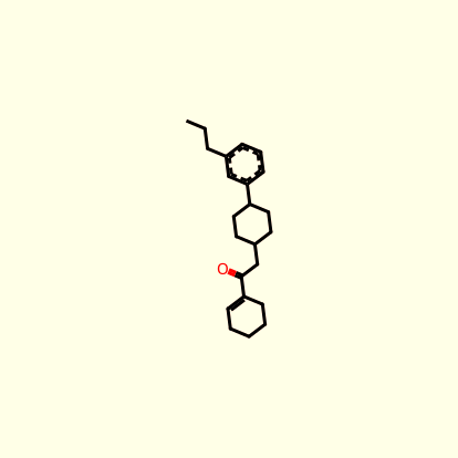 CCCc1cccc(C2CCC(CC(=O)C3=CCCCC3)CC2)c1